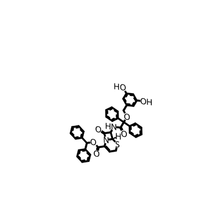 O=C(OC(c1ccccc1)c1ccccc1)C1=CCS[C@H]2C(NC(=O)C(OCc3cc(O)cc(O)c3)(c3ccccc3)c3ccccc3)C(=O)N12